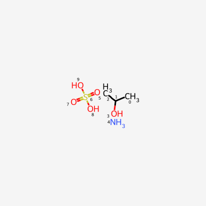 CC(C)O.N.O=S(=O)(O)O